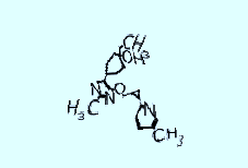 CC[C@]1(O)CC[C@@H](c2cnc(C)nc2OC[C@H]2C[C@@H]2c2ccc(C)cn2)CC1